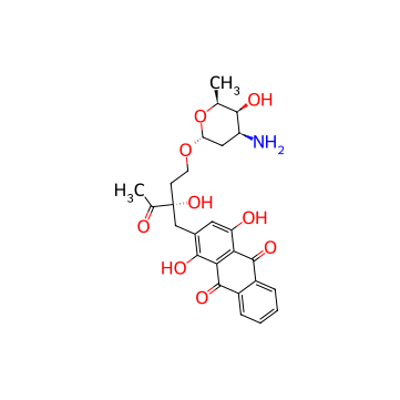 CC(=O)[C@@](O)(CCO[C@H]1C[C@H](N)[C@H](O)[C@H](C)O1)Cc1cc(O)c2c(c1O)C(=O)c1ccccc1C2=O